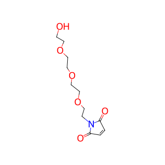 O=C1C=CC(=O)N1CCOCCOCCOCCO